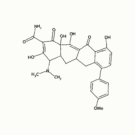 COc1ccc(-c2ccc(O)c3c2CC2CC4C(N(C)C)C(O)=C(C(N)=O)C(=O)C4(O)C(O)=C2C3=O)cc1